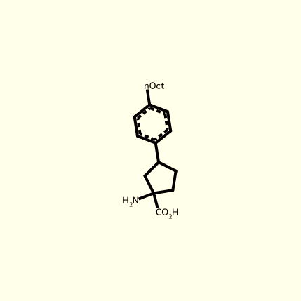 CCCCCCCCc1ccc(C2CCC(N)(C(=O)O)C2)cc1